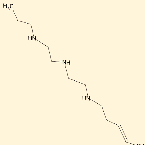 C/C=C/CCNCCNCCNCCC